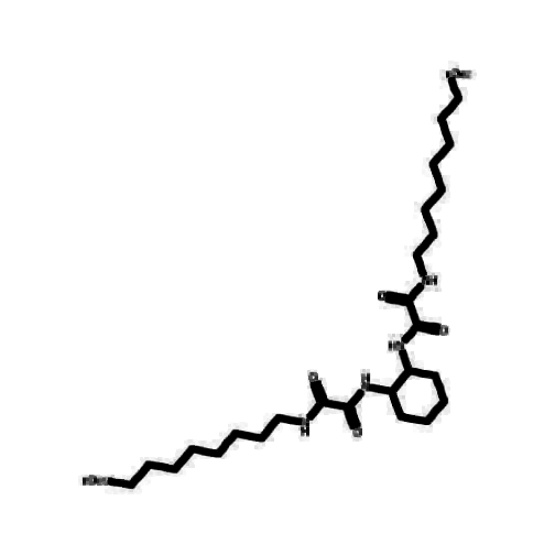 CCCCCCCCCCCCCCCCCCNC(=O)C(=O)NC1CCCCC1NC(=O)C(=O)NCCCCCCCCCCCCCCCCCC